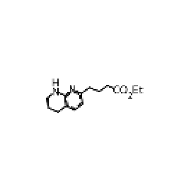 CCOC(=O)CCCc1ccc2c(n1)NCCC2